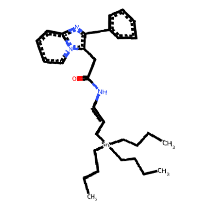 CCC[CH2][Sn]([CH2]C=CNC(=O)Cc1c(-c2ccccc2)nc2ccccn12)([CH2]CCC)[CH2]CCC